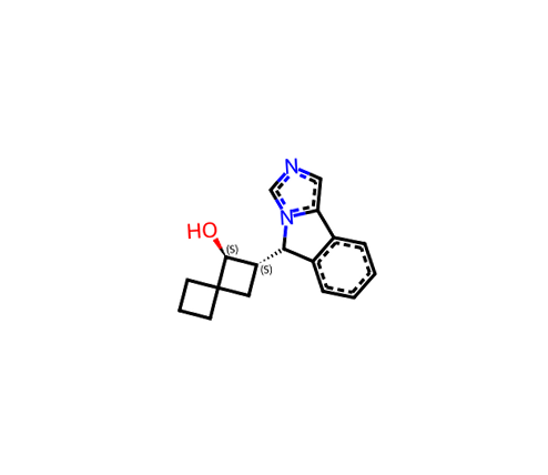 O[C@H]1[C@H](C2c3ccccc3-c3cncn32)CC12CCC2